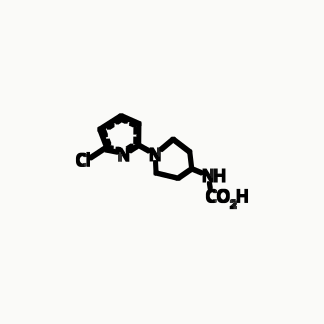 O=C(O)NC1CCN(c2cccc(Cl)n2)CC1